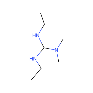 CCNC(NCC)N(C)C